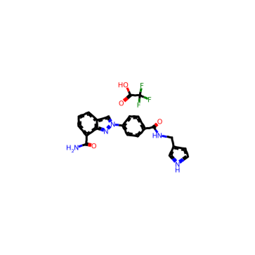 NC(=O)c1cccc2cn(-c3ccc(C(=O)NCc4cc[nH]c4)cc3)nc12.O=C(O)C(F)(F)F